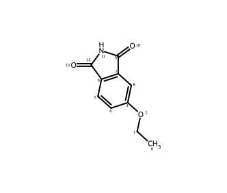 CCOc1ccc2c(c1)C(=O)NC2=O